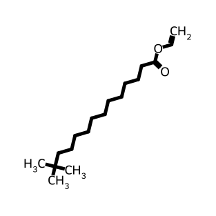 C=COC(=O)CCCCCCCCCCCC(C)(C)C